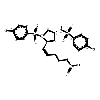 O=S(O)CCC/C=C\[C@@H]1C[C@@H](NS(=O)(=O)c2ccc(Cl)cc2)CN1S(=O)(=O)c1ccc(Cl)cc1